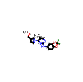 COCc1ccn(-c2nc(Nc3ccc4c(c3)OC(F)(F)O4)ncc2C)c1